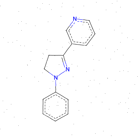 c1ccc(N2CCC(c3cccnc3)=N2)cc1